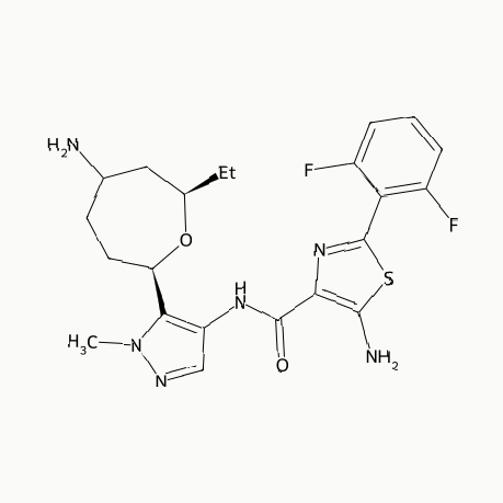 CC[C@@H]1CC(N)CC[C@H](c2c(NC(=O)c3nc(-c4c(F)cccc4F)sc3N)cnn2C)O1